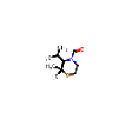 CC(C)C1N(C=O)CCSC1(C)C